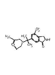 CC1CN(C(C)(C)c2cc3c(c(C(F)(F)F)c2)CNC3=O)CCO1